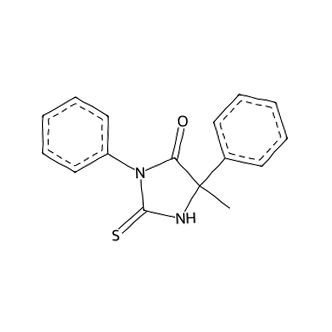 CC1(c2ccccc2)NC(=S)N(c2ccccc2)C1=O